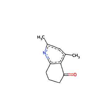 Cc1cc(C)c2c(n1)CCCC2=O